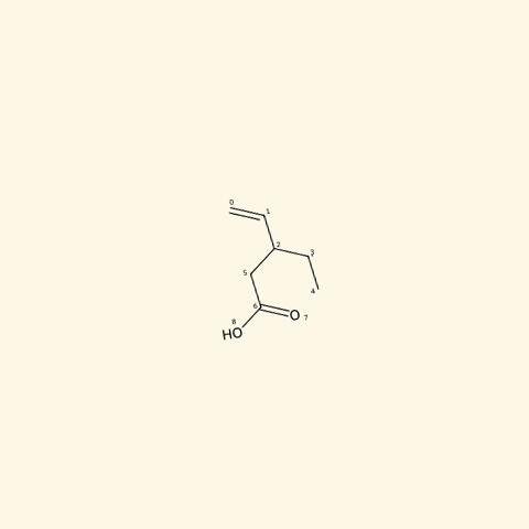 C=CC([CH]C)CC(=O)O